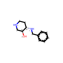 O[C@H]1CNCC[C@@H]1NCc1ccccc1